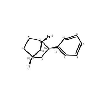 c1ccc([C@H]2C[C@@H]3CC[C@H]2C3)cc1